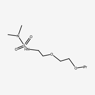 CC(C)OCCOCCNS(=O)(=O)N(C)C